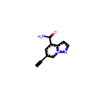 C#Cc1cc(C(N)=O)c2ccnn2c1